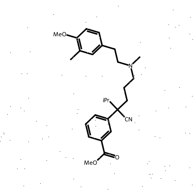 COC(=O)c1cccc(C(C#N)(CCCN(C)CCc2ccc(OC)c(C)c2)C(C)C)c1